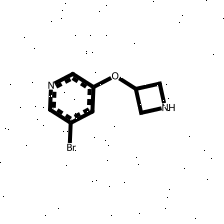 Brc1cncc(OC2CNC2)c1